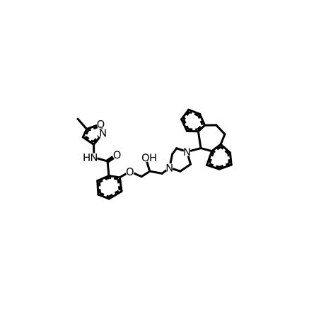 Cc1cc(NC(=O)c2ccccc2OCC(O)CN2CCN(C3c4ccccc4CCc4ccccc43)CC2)no1